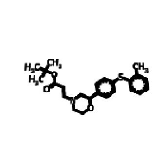 Cc1ccccc1Sc1ccc(C2CN(CCC(=O)OC(C)(C)C)CCO2)cc1